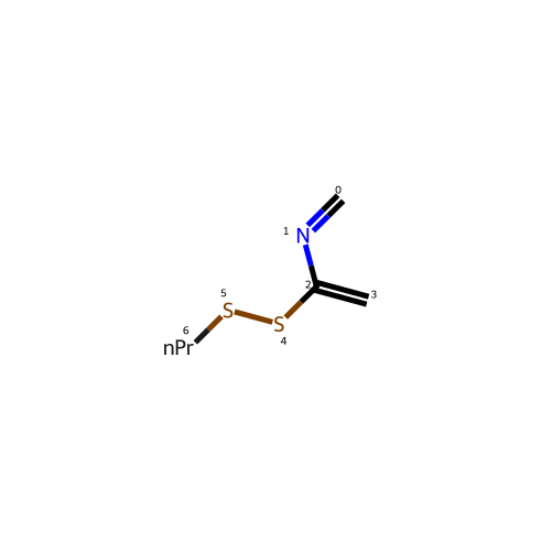 C=NC(=C)SSCCC